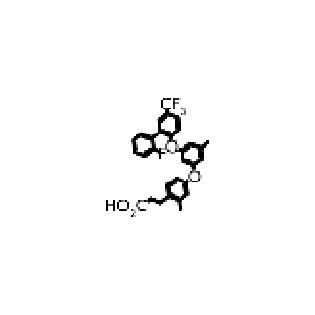 Cc1cc(Oc2ccc(CCC(=O)O)c(C)c2)cc(Oc2ccc(C(F)(F)F)cc2-c2ccccc2F)c1